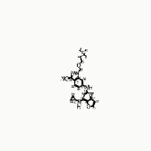 C[Si](C)(C)CCOCn1nc(C#N)c2ccc(Nc3nc(NC4CC4)c4occc4n3)cc21